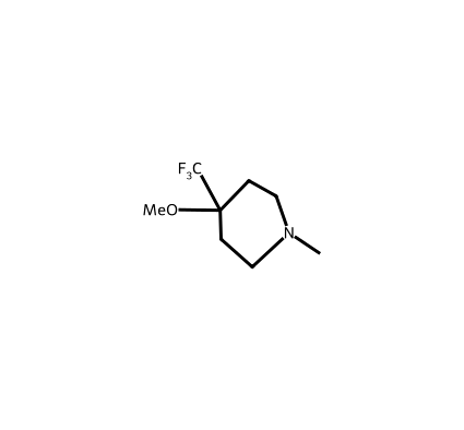 COC1(C(F)(F)F)CCN(C)CC1